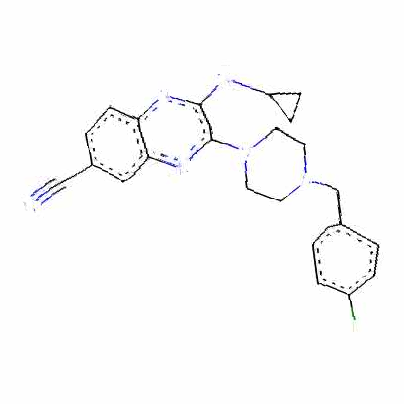 N#Cc1ccc2nc(NC3CC3)c(N3CCN(Cc4ccc(F)cc4)CC3)nc2c1